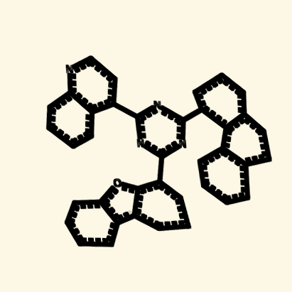 c1ccc2c(c1)ccc1cccc(-c3nc(-c4ccnc5ccccc45)nc(-c4cccc5c4oc4ccccc45)n3)c12